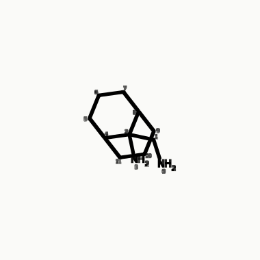 NCC1(N)C2CCCC1CCC2